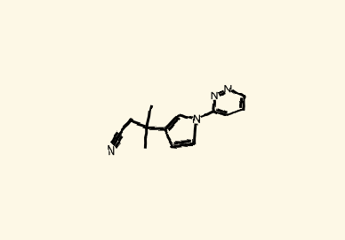 CC(C)(CC#N)c1ccn(-c2cc[c]nn2)c1